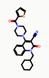 N#Cc1c(N2CCN(C(=O)c3cccs3)CC2)c2ccccc2n(CC2CCCCC2)c1=O